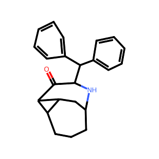 O=C1C(C(c2ccccc2)c2ccccc2)NC2CCCC3C(C2)C13